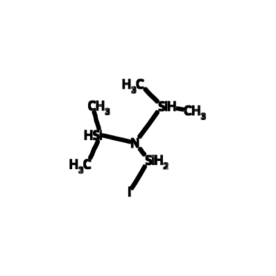 C[SiH](C)N([SiH2]I)[SiH](C)C